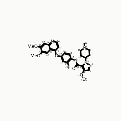 CCOc1cnn(C2CCN(C)CC2)c1C(=O)Nc1ccc(Oc2ccnc3cc(OC)c(OC)cc23)cc1F